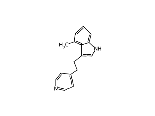 Cc1cccc2[nH]cc(CCc3ccncc3)c12